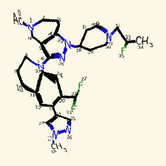 CC(=O)N1CCc2c(c(N3CCCc4cc(-c5cnn(C)c5)c(C(F)F)cc43)nn2C2CCN(CC(C)F)CC2)C1